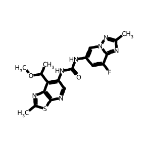 COC(C)c1c(NC(=O)Nc2cc(F)c3nc(C)nn3c2)cnc2sc(C)nc12